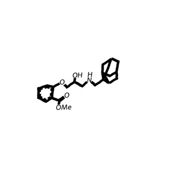 COC(=O)c1ccccc1OCC(O)CNCC1C2CC3CC(C2)CC1C3